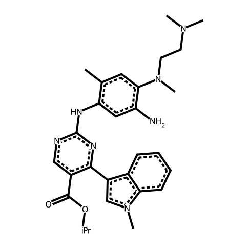 Cc1cc(N(C)CCN(C)C)c(N)cc1Nc1ncc(C(=O)OC(C)C)c(-c2cn(C)c3ccccc23)n1